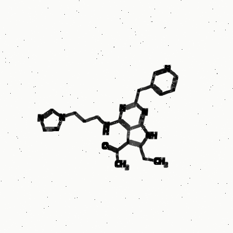 CCc1[nH]c2nc(Cc3cccnc3)nc(NCCCn3ccnc3)c2c1C(C)=O